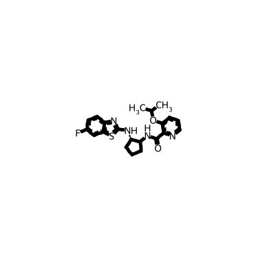 CC(C)Oc1cccnc1C(=O)NC1CCC[C@@H]1Nc1nc2ccc(F)cc2s1